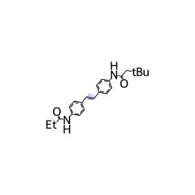 CCC(=O)Nc1ccc(/C=C/c2ccc(NC(=O)CC(C)(C)C)cc2)cc1